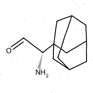 N[C@H](C=O)C12CC3CC(CC(C3)C1)C2